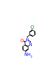 Nc1ccc2c(=O)n(Cc3cccc(Cl)c3)cnc2c1